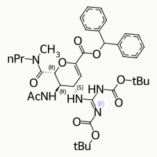 CCCN(C)C(=O)[C@@H]1OC(C(=O)OC(c2ccccc2)c2ccccc2)=C[C@H](N/C(=N\C(=O)OC(C)(C)C)NC(=O)OC(C)(C)C)[C@H]1NC(C)=O